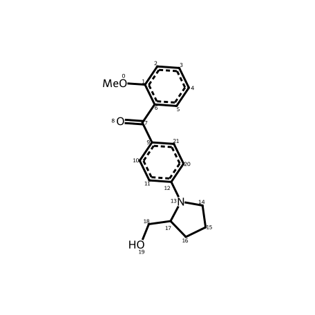 COc1ccccc1C(=O)c1ccc(N2CCCC2CO)cc1